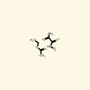 CCOC(C)=O.NC(=O)C(=O)NCl